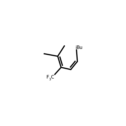 CCC(C)/C=C\C(=C(C)C)C(F)(F)F